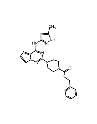 Cc1cc(Nc2nc(N3CCN(C(=O)CCc4ccccc4)CC3)nn3cccc23)n[nH]1